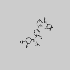 Cn1nncc1Nc1nccc(-c2ccn([C@H](CO)c3ccc(Cl)c(F)c3)c(=O)c2)n1